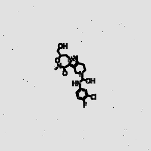 CN1O[C@@H](CO)Cn2nc3c(c2C1=O)CN(C(O)Nc1ccc(F)c(Cl)c1)CC3